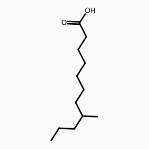 CCCC(C)CCCCCCC(=O)O